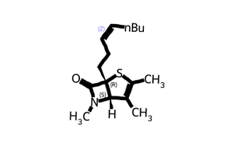 CCCC/C=C\CC[C@@]12SC(C)=C(C)[C@@H]1N(C)C2=O